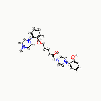 COc1ccccc1N1CCN(CC(=O)CCCCOc2ccccc2N2CCN(C)CC2)CC1